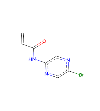 C=CC(=O)Nc1cnc(Br)cn1